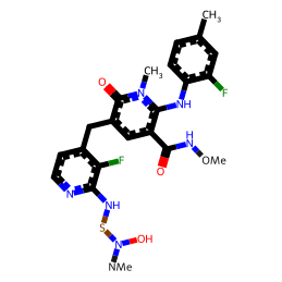 CNN(O)SNc1nccc(Cc2cc(C(=O)NOC)c(Nc3ccc(C)cc3F)n(C)c2=O)c1F